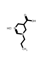 CCCN1C=NCC(C(=O)O)C1.Cl